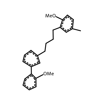 COc1ccc(C)cc1CCCCc1cccc(-c2ccccc2OC)c1